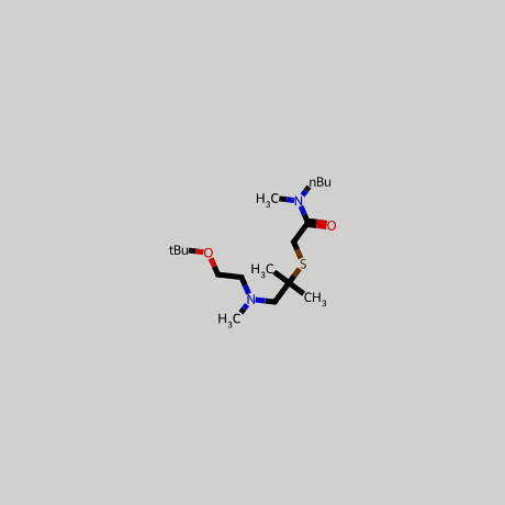 CCCCN(C)C(=O)CSC(C)(C)CN(C)CCOC(C)(C)C